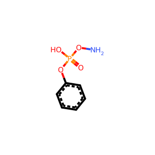 NOP(=O)(O)Oc1ccccc1